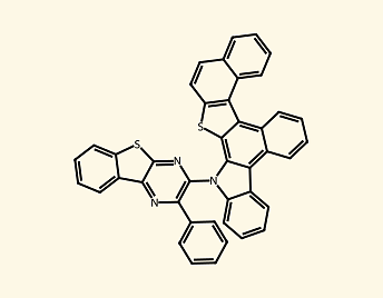 c1ccc(-c2nc3c(nc2-n2c4ccccc4c4c5ccccc5c5c(sc6ccc7ccccc7c65)c42)sc2ccccc23)cc1